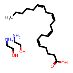 CCCCC/C=C\C/C=C\C/C=C\C/C=C\CCCC(=O)O.NCCO.NCCO